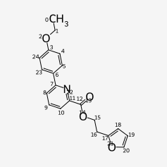 CCOc1ccc(-c2cccc(C(=O)OCCc3ccco3)n2)cc1